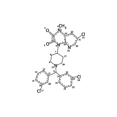 Cn1c(=O)c(=O)n(C2CCN(C(c3cccc(Cl)c3)c3cccc(Cl)c3)CC2)c2ncc(Cl)cc21